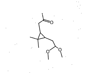 COC(CC1C(CC(C)=O)C1(C)C)OC